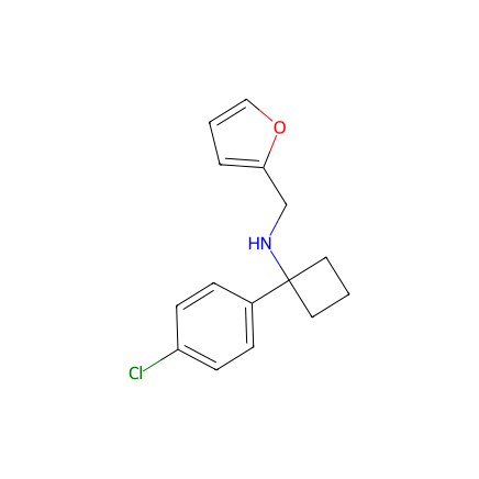 Clc1ccc(C2(NCc3ccco3)CCC2)cc1